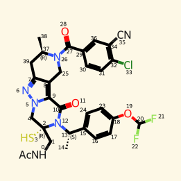 CC(=O)NC[C@@]1(S)Cn2nc3c(c2C(=O)N1[C@@H](C)c1ccc(OC(F)F)cc1)CN(C(=O)c1ccc(Cl)c(C#N)c1)[C@H](C)C3